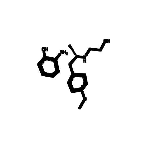 COc1ccc(C[C@H](C)NCCO)cc1.Nc1ccccc1O